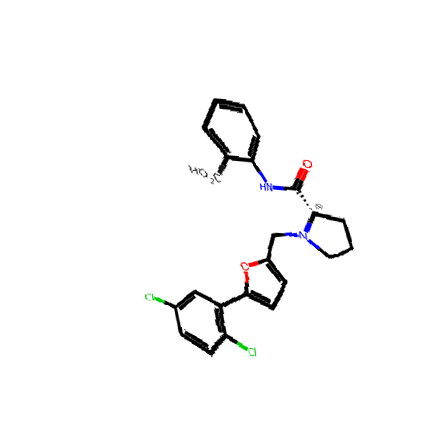 O=C(O)c1ccccc1NC(=O)[C@@H]1CCCN1Cc1ccc(-c2cc(Cl)ccc2Cl)o1